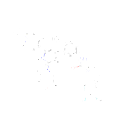 Cc1ccc(NC(=O)N2CC[C@@H](CC(F)(F)F)C2)cc1-c1cc(C2=CCN(C)CC2)nc(N2CCOCC2)c1